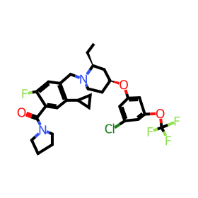 CC[C@H]1C[C@@H](Oc2cc(Cl)cc(OC(F)(F)F)c2)CCN1Cc1cc(F)c(C(=O)N2CCCC2)cc1C1CC1